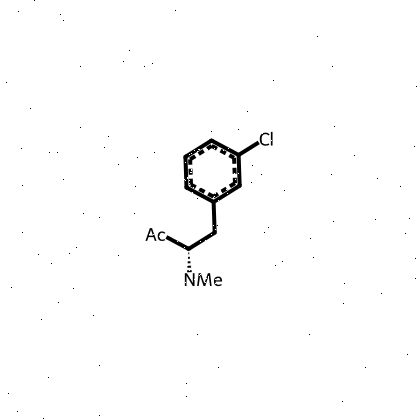 CN[C@@H](Cc1cccc(Cl)c1)C(C)=O